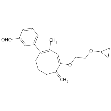 C=C1CCC/C(c2cccc(C=O)c2)=C(C)\C=C/1OCCOC1CC1